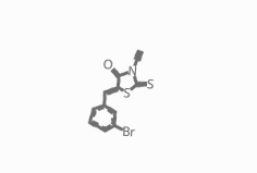 C#CN1C(=O)C(=Cc2cccc(Br)c2)SC1=S